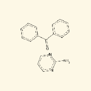 Nc1ncccn1.O=C(c1ccccc1)c1ccccc1